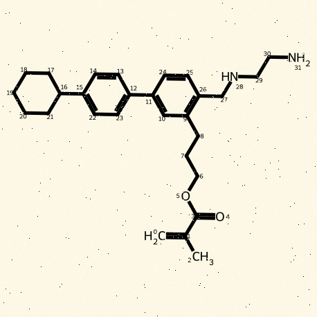 C=C(C)C(=O)OCCCc1cc(-c2ccc(C3CCCCC3)cc2)ccc1CNCCN